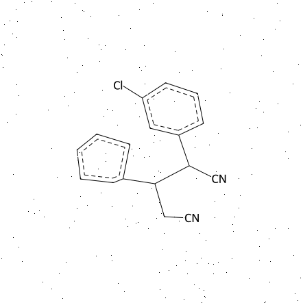 N#CCC(c1ccccc1)C(C#N)c1cccc(Cl)c1